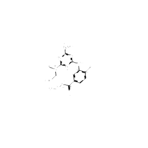 CNc1nc(Nc2cc(C(=O)NOC)ccc2C)nc(N(C)CC(C)(C)C)n1